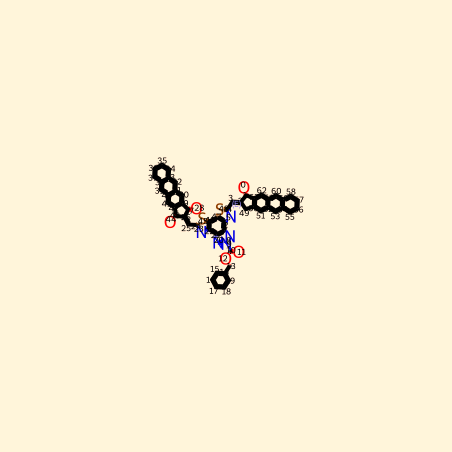 O=C1/C(=C/c2nc3c4nn(C(=O)OCc5ccccc5)nc4c4nc(C=C5C(=O)c6cc7cc8ccccc8cc7cc6C5=O)sc4c3s2)Cc2cc3cc4ccccc4cc3cc21